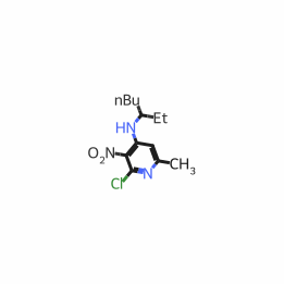 CCCCC(CC)Nc1cc(C)nc(Cl)c1[N+](=O)[O-]